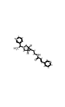 CC(c1cccnc1)N1C[C@@H]2C(CCNC(=O)/C=C/c3cccnc3)[C@@H]2C1